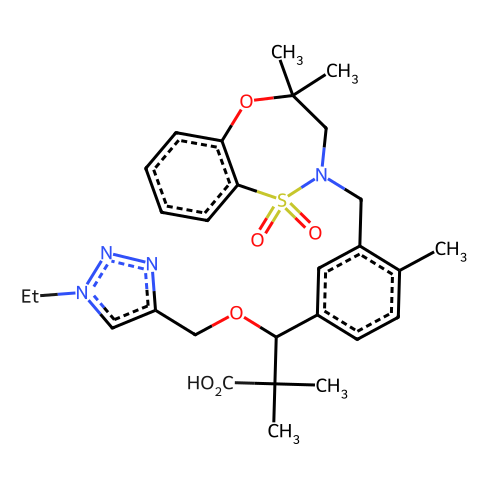 CCn1cc(COC(c2ccc(C)c(CN3CC(C)(C)Oc4ccccc4S3(=O)=O)c2)C(C)(C)C(=O)O)nn1